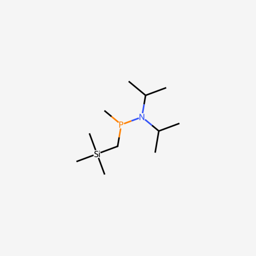 CC(C)N(C(C)C)P(C)C[Si](C)(C)C